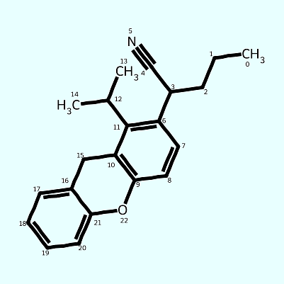 CCCC(C#N)c1ccc2c(c1C(C)C)Cc1ccccc1O2